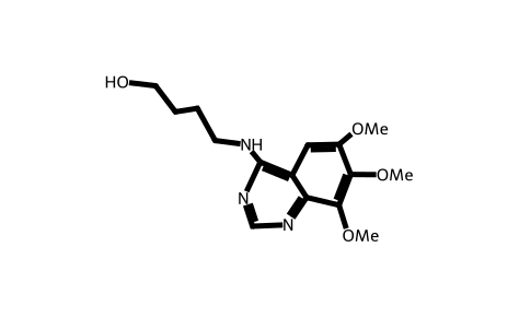 COc1cc2c(NCCCCO)ncnc2c(OC)c1OC